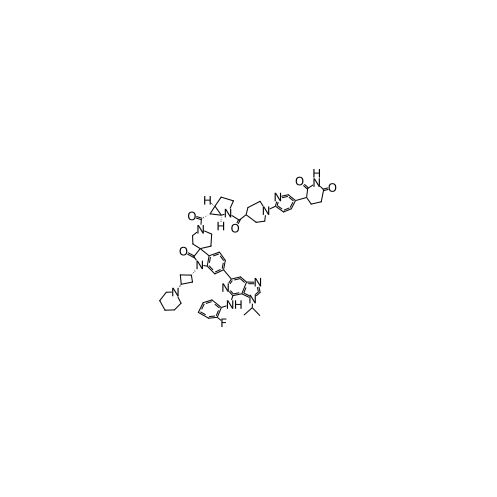 CC(C)n1cnc2cc(-c3ccc4c(c3)N([C@H]3C[C@@H](N5CCCCC5)C3)C(=O)C43CCN(C(=O)[C@@H]4[C@H]5CCN(C(=O)C6CCN(c7ccc(C8CCC(=O)NC8=O)cn7)CC6)[C@H]54)CC3)nc(Nc3ccccc3F)c21